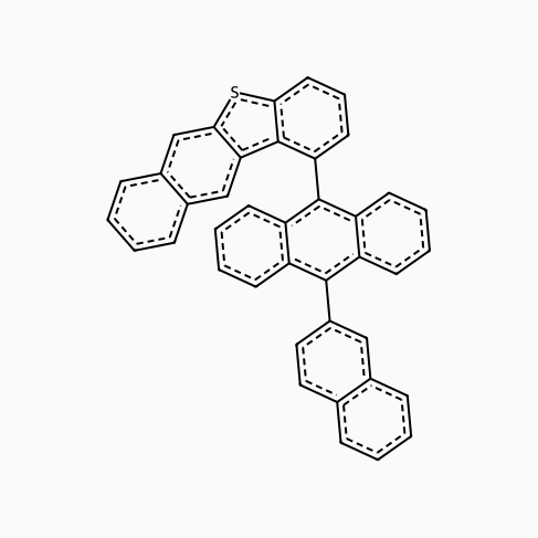 c1ccc2cc(-c3c4ccccc4c(-c4cccc5sc6cc7ccccc7cc6c45)c4ccccc34)ccc2c1